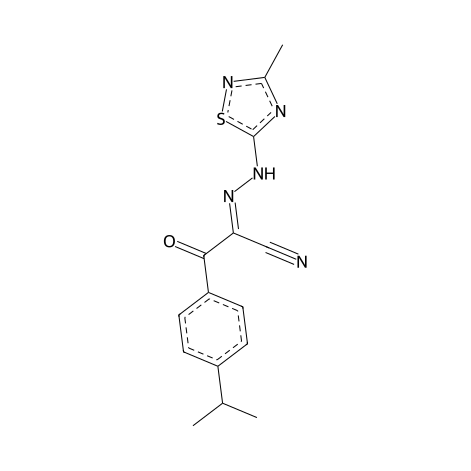 Cc1nsc(N/N=C(\C#N)C(=O)c2ccc(C(C)C)cc2)n1